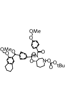 COCOc1ccc(C(=O)N[C@@H]2CN(OC(=O)OC(C)(C)C)CCC[C@H]2OC(=O)c2ccc(C(=O)c3cc4c(cc3OCOC)CCCC4)cc2)cc1